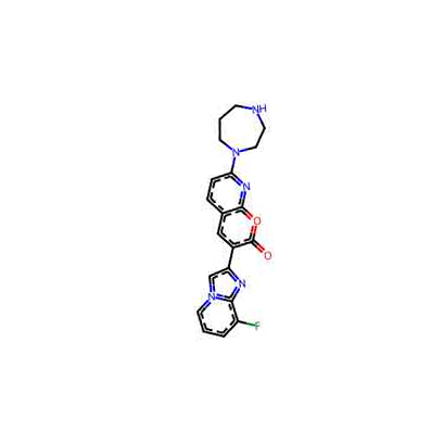 O=c1oc2nc(N3CCCNCC3)ccc2cc1-c1cn2cccc(F)c2n1